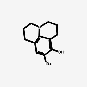 CCC(C)c1cc2c3c(c1O)CCCN3CCC2